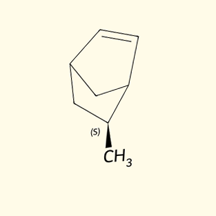 C[C@H]1CC2C=CC1C2